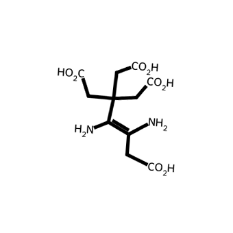 NC(CC(=O)O)=C(N)C(CC(=O)O)(CC(=O)O)CC(=O)O